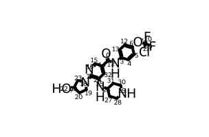 O=C(Nc1ccc(OC(F)(F)Cl)cc1)c1cnc(N2CC[C@@H](O)C2)c(NC2CCNCC2)c1